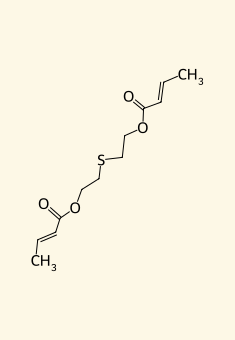 CC=CC(=O)OCCSCCOC(=O)C=CC